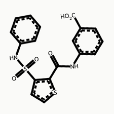 O=C(O)c1cccc(NC(=O)c2sccc2S(=O)(=O)Nc2ccccc2)c1